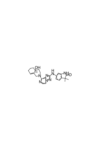 CC1(C)C(=O)Nc2cc(Nc3nc4c(N5CC[C@@]6(O)CCCC=C6C5)nccn4n3)ccc21